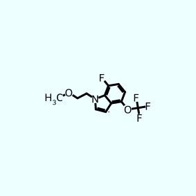 COCCn1c[c]c2c(OC(F)(F)F)ccc(F)c21